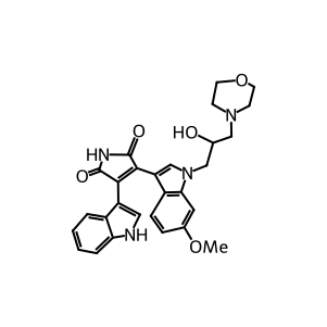 COc1ccc2c(C3=C(c4c[nH]c5ccccc45)C(=O)NC3=O)cn(CC(O)CN3CCOCC3)c2c1